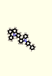 c1ccc(-c2ccc(-n3c4ccccc4c4c(-c5ccc6c7ccccc7n(-c7ccccc7-c7ccccc7)c6c5)cccc43)cc2)cc1